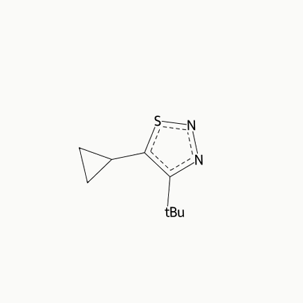 CC(C)(C)c1nnsc1C1CC1